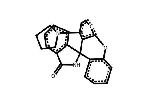 O=C1NC2(c3ccccc3Oc3cccc(N4CCCC4)c32)c2ccccc21